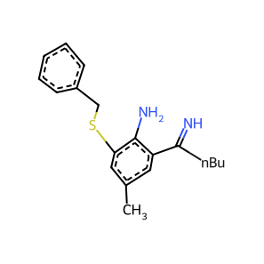 CCCCC(=N)c1cc(C)cc(SCc2ccccc2)c1N